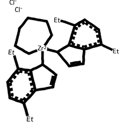 CCc1ccc(CC)c2c1C=C[CH]2[Zr+2]1([CH]2C=Cc3c(CC)ccc(CC)c32)[CH2]CCCC[CH2]1.[Cl-].[Cl-]